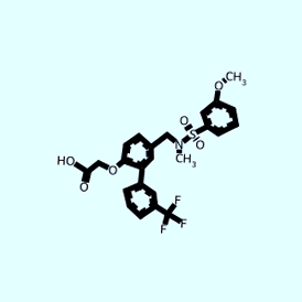 COc1cccc(S(=O)(=O)N(C)Cc2ccc(OCC(=O)O)c(-c3cccc(C(F)(F)F)c3)c2)c1